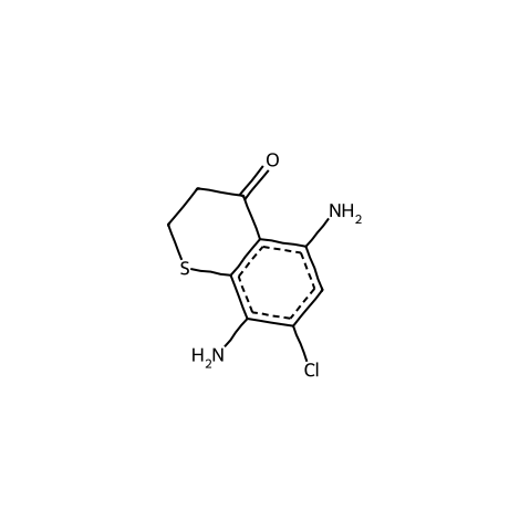 Nc1cc(Cl)c(N)c2c1C(=O)CCS2